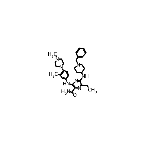 CCc1nc(C(N)=O)c(Nc2ccc(N3CCN(C)CC3)c(C)c2)nc1NC1CCN(Cc2ccccc2)CC1